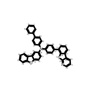 c1ccc(-c2ccc(N(c3ccc(-c4cccc5c4sc4ncccc45)cc3)c3ccc4oc5ccccc5c4c3)cc2)cc1